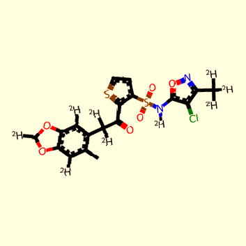 [2H]c1c(C)c(C([2H])([2H])C(=O)c2sccc2S(=O)(=O)N([2H])c2onc(C([2H])([2H])[2H])c2Cl)c([2H])c2c1OC([2H])O2